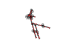 CCCCOc1nc(NC(=O)CCCCCN(CCCCCCCCC(=O)OCCCCCCCC(C)C)CCCN(CCCCCCCCC(=O)OCCCCCCCC(C)C)CCCCCCCCC(=O)OCCCCCCCC(C)C)c2[nH]c(=O)n(Cc3cccc(CC(=O)OC)c3)c2n1